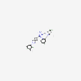 Cc1c(F)ccc(N2CC3(CC(c4nnc5n4-c4ccc(Cl)cc4CN(C4(C)CC(F)(F)C4)C5)C3)C2)c1F